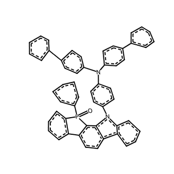 O=P1(c2ccccc2)c2ccccc2-c2ccc3c4ccccc4n(-c4ccc(N(c5ccc(-c6ccccc6)cc5)c5ccc(-c6ccccc6)cc5)cc4)c3c21